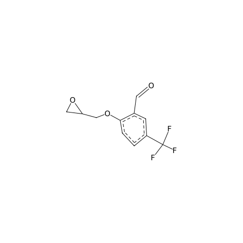 O=Cc1cc(C(F)(F)F)ccc1OCC1CO1